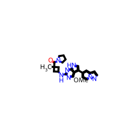 COc1nc(NC2CC(C)(C(=O)N3CCCC3)C2)nc2[nH]cc(-c3ccn4nccc4c3)c12